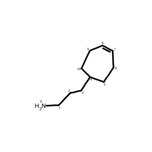 NCCCC1CCC=CCC1